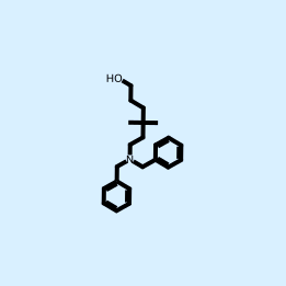 CC(C)(CCCO)CCN(Cc1ccccc1)Cc1ccccc1